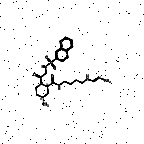 C[C@@H]1CCN(C(=O)CNS(=O)(=O)c2ccc3ccccc3c2)[C@@H](C(=O)NCCCCNC=NN)C1